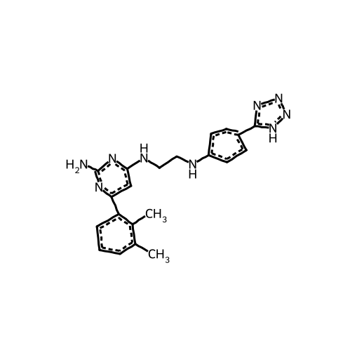 Cc1cccc(-c2cc(NCCNc3ccc(-c4nnn[nH]4)cc3)nc(N)n2)c1C